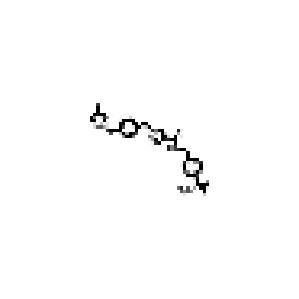 Cc1cnn(Cc2ccc(Cn3cc(C(=O)NCc4ccc(C5(N)CC5)cc4)cn3)cc2)c1